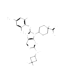 CC1(C(N)=O)CCC(n2c(Nc3c(Cl)cc(C#N)cc3Cl)nc3cnc(NC4CC(F)(F)C4)nc32)CC1